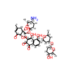 CC1=CC(=O)[C@@H](O)[C@](O)([C@@H](CC2=C(O)c3c(ccc([C@H]4C[C@@H](O[C@H]5CC[C@H](O)[C@H](C)O5)C[C@H](C)O4)c3O)C(=O)C2=O)O[C@@H]2CC[C@@H](N)[C@@H](C)O2)C1